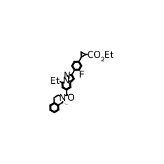 CCOC(=O)C1CC1c1ccc(-c2cc3cc(C(=O)N4CCc5ccccc5[C@H]4C)cc(CC)n3n2)c(F)c1